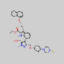 CCOC(=O)c1[nH]c2c(-c3c(COc4ccc(N5CCN(SC)CC5)cc4)nn(C)c3CO)cccc2c1CCCOc1cccc2ccccc12